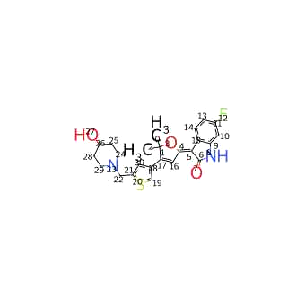 CC1(C)O/C(=C2/C(=O)Nc3cc(F)ccc32)C=C1c1csc(CN2CCC(O)CC2)c1